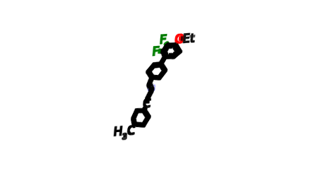 CCOc1ccc(C2=CCC(/C=C/CCC3CCC(C)CC3)CC2)c(F)c1F